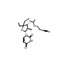 CCC1(CC)O[C@@H](n2ccc(=O)[nH]c2=O)C(F)[C@H]1OC(C)OCCC#N